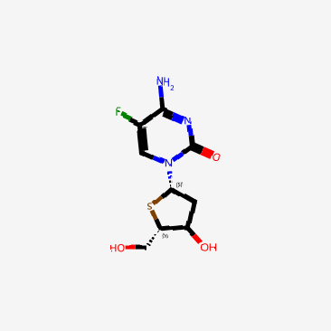 Nc1nc(=O)n([C@@H]2CC(O)[C@H](CO)S2)cc1F